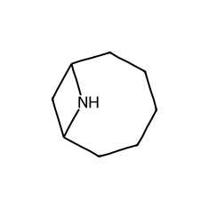 C1CCC2CC(CC1)N2